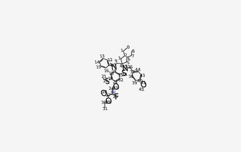 CCCCC1(CCCC)CN(c2ccccc2)c2cc(SC)c(O/C=C(\F)C(=O)OCC)cc2SN1Cc1ccc(OC)cc1